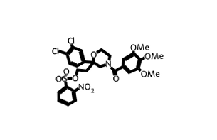 COc1cc(C(=O)N2CCOC(CCOS(=O)(=O)c3ccccc3[N+](=O)[O-])(c3ccc(Cl)c(Cl)c3)C2)cc(OC)c1OC